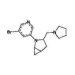 Brc1cncc(N2C(CN3CCCC3)CC3CC32)c1